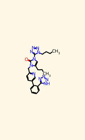 CCCCn1nnnc1-n1cc(CCC)n(Cc2ccc(-c3ccccc3-c3nnn[nH]3)cn2)c1=O